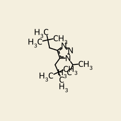 CC(C)n1nnc(CC(C)(C)C)c1CC(C)(C)C